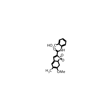 COC1=C(C)C=C2C=C(C(=O)Nc3ccccc3C(=O)O)S(=O)(=O)C2C1